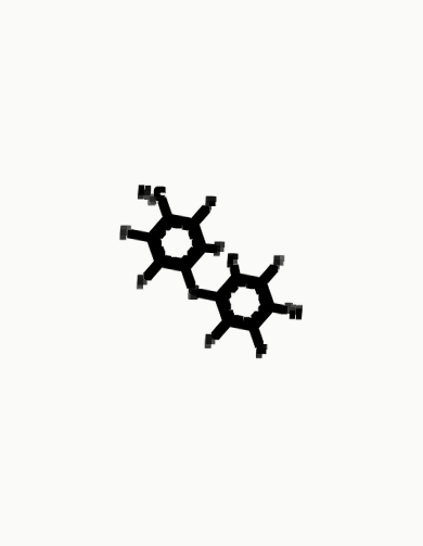 [2H]c1c(F)c(F)c(Sc2c(F)c(F)c(C)c(F)c2F)c(F)c1F